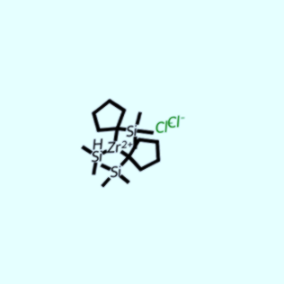 C[SiH](C)[Zr+2]([C]1([Si](C)(C)C)CCCC1)[C]1([Si](C)(C)C)CCCC1.[Cl-].[Cl-]